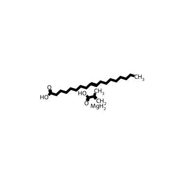 C=C(C)C(=O)O.CCCCCCCC/C=C/CCCCCCCC(=O)O.[MgH2]